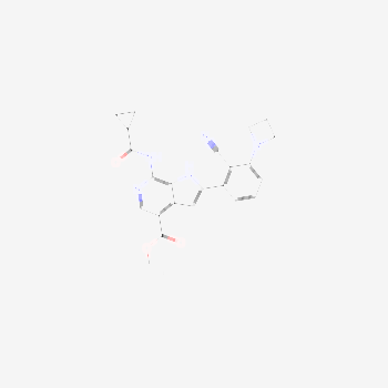 COC(=O)c1cnc(NC(=O)C2CC2)c2[nH]c(-c3cccc(N4CCC4)c3C#N)cc12